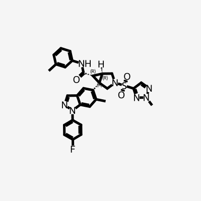 Cc1cccc(NC(=O)[C@@H]2[C@H]3CN(S(=O)(=O)c4cnn(C)n4)C[C@]32c2cc3cnn(-c4ccc(F)cc4)c3cc2C)c1